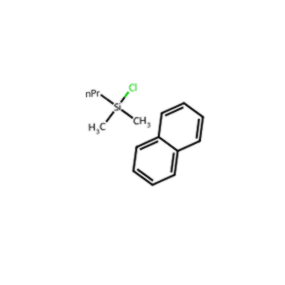 CCC[Si](C)(C)Cl.c1ccc2ccccc2c1